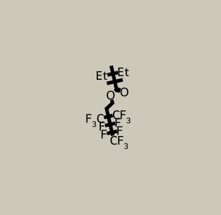 CCC(C)(CC)C(C)(C)C(=O)OCCC(C(F)(F)F)(C(F)(F)F)C(F)(F)C(F)(F)C(F)(F)F